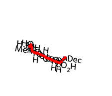 CCCCCCCCCCCCCCCC(=O)NC(CCC(=O)NCCOCCOCC(=O)NCCOCCOCC(=O)NCCCC[C@H](NC)C(=O)CNC(CO)C(N)=O)C(=O)O